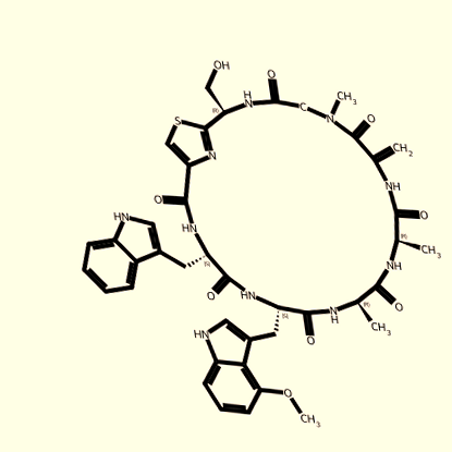 C=C1NC(=O)[C@@H](C)NC(=O)[C@@H](C)NC(=O)[C@H](Cc2c[nH]c3cccc(OC)c23)NC(=O)[C@H](Cc2c[nH]c3ccccc23)NC(=O)c2csc(n2)[C@@H](CO)NC(=O)CN(C)C1=O